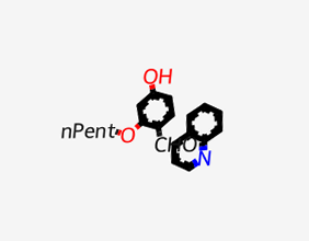 CCCCCOc1cc(O)ccc1C=O.c1ccc2ncccc2c1